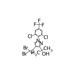 CC(C)(O)c1nn(-c2c(Cl)cc(C(F)(F)F)cc2Cl)cc1C1CC1(Br)Br